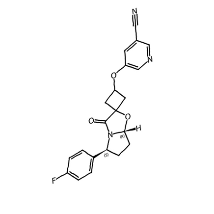 N#Cc1cncc(OC2CC3(C2)O[C@@H]2CC[C@@H](c4ccc(F)cc4)N2C3=O)c1